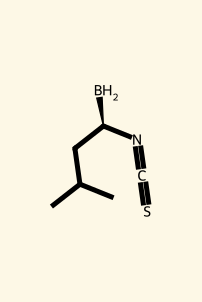 B[C@H](CC(C)C)N=C=S